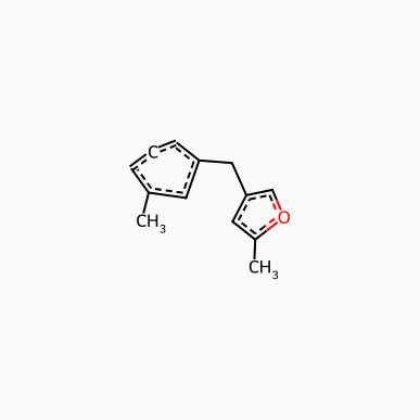 Cc1cccc(Cc2coc(C)c2)c1